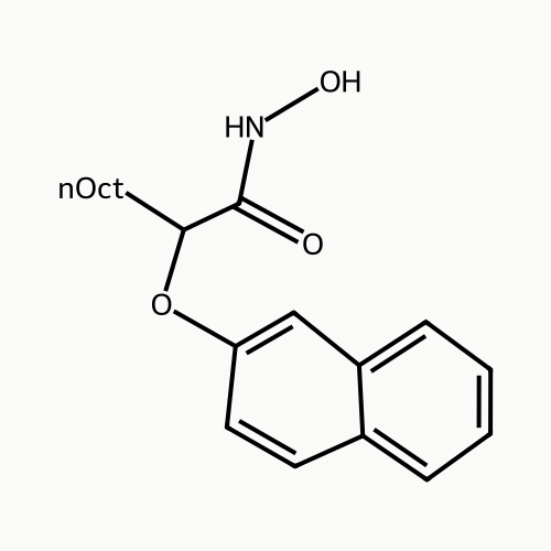 CCCCCCCCC(Oc1ccc2ccccc2c1)C(=O)NO